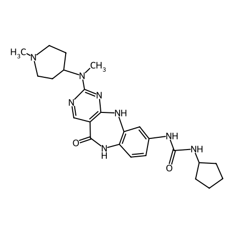 CN1CCC(N(C)c2ncc3c(n2)Nc2cc(NC(=O)NC4CCCC4)ccc2NC3=O)CC1